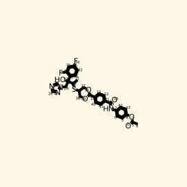 CC(=O)Oc1ccc(NC(=O)c2ccc(C3OCC(SC(C)C(O)(Cn4cncn4)c4ccc(F)cc4F)CO3)cc2)cc1